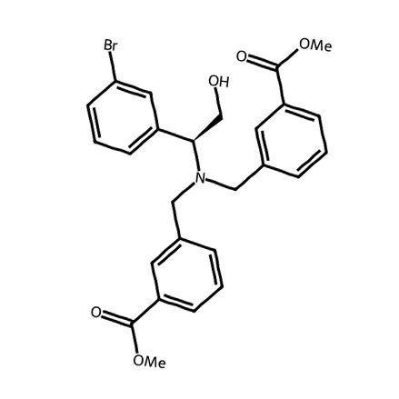 COC(=O)c1cccc(CN(Cc2cccc(C(=O)OC)c2)[C@H](CO)c2cccc(Br)c2)c1